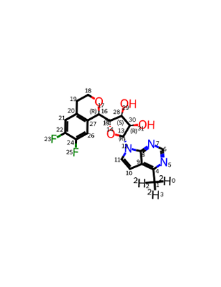 [2H]C([2H])([2H])c1ncnc2c1ccn2[C@@H]1O[C@H]([C@@H]2OCCc3cc(F)c(F)cc32)[C@@H](O)[C@H]1O